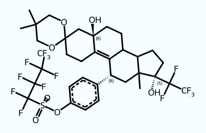 CC1(C)COC2(CCC3=C4C(CC[C@@]3(O)C2)C2CC[C@@](O)(C(F)(F)C(F)(F)F)C2(C)C[C@@H]4c2ccc(OS(=O)(=O)C(F)(F)C(F)(F)C(F)(F)C(F)(F)F)cc2)OC1